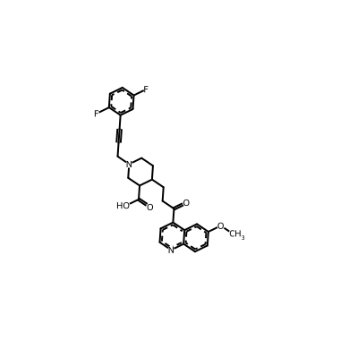 COc1ccc2nccc(C(=O)CCC3CCN(CC#Cc4cc(F)ccc4F)CC3C(=O)O)c2c1